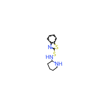 c1ccc2sc(SNC3CCCCN3)nc2c1